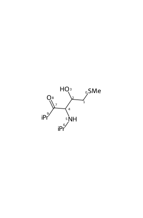 CSCC(O)C(NC(C)C)C(=O)C(C)C